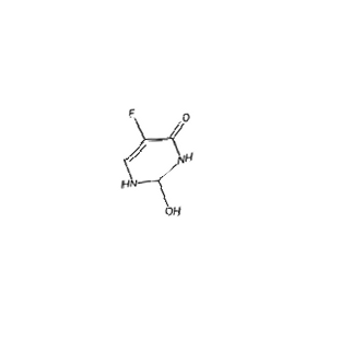 O=C1NC(O)NC=C1F